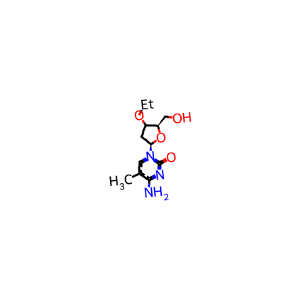 CCOC1C[C@H](n2cc(C)c(N)nc2=O)O[C@@H]1CO